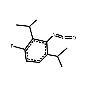 CC(C)c1ccc(F)c(C(C)C)c1N=C=O